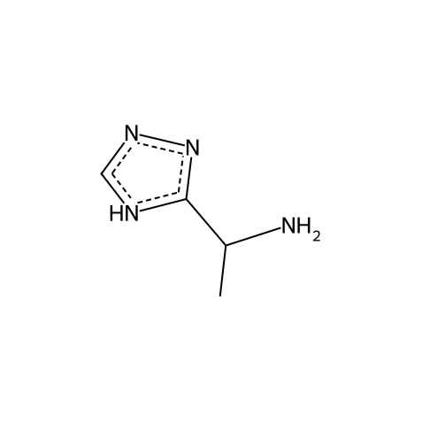 CC(N)c1nnc[nH]1